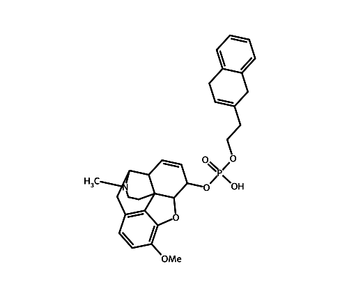 COc1ccc2c3c1OC1C(OP(=O)(O)OCCC4=CCc5ccccc5C4)C=CC4C(C2)N(C)CCC341